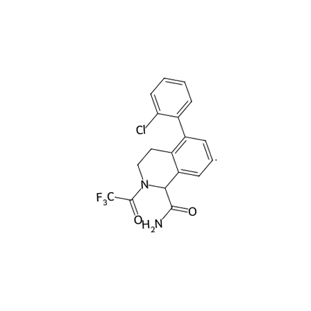 NC(=O)C1c2c[c]cc(-c3ccccc3Cl)c2CCN1C(=O)C(F)(F)F